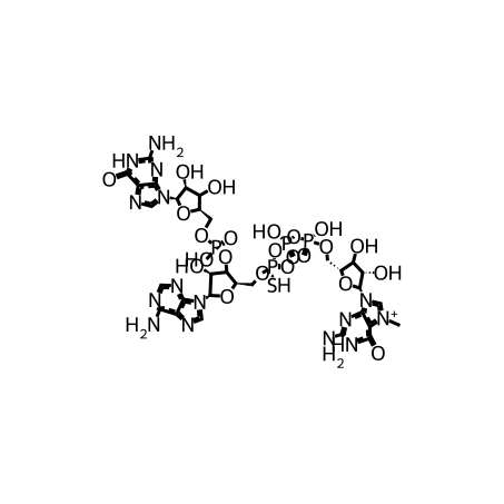 C[n+]1cn([C@@H]2O[C@H](COP(=O)(O)OP(=O)(O)O[P@@](=O)(S)OC[C@H]3O[C@@H](n4cnc5c(N)ncnc54)[C@@H](O)C3OP(=O)(O)OC[C@H]3O[C@@H](n4cnc5c(=O)[nH]c(N)nc54)[C@@H](O)C3O)C(O)[C@@H]2O)c2nc(N)[nH]c(=O)c21